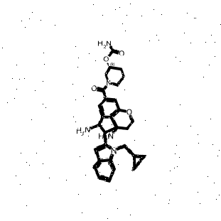 NC(=O)O[C@@H]1CCCN(C(=O)c2cc3c4c(c2)C(N)C(c2cc5ccccc5n2CC2CC2)C4(N)CCO3)C1